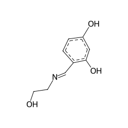 OCCN=Cc1ccc(O)cc1O